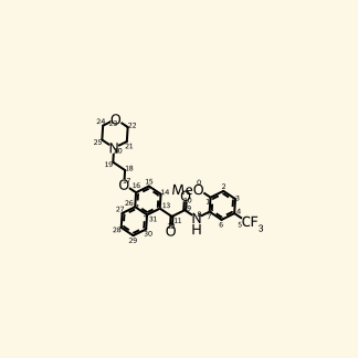 COc1ccc(C(F)(F)F)cc1NC(=O)C(=O)c1ccc(OCCN2CCOCC2)c2ccccc12